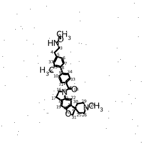 CONCCc1ccc(-c2ccc(C(=O)N3CCc4cc5c(cc43)C3(CCN(C)CC3)CO5)cc2)c(C)c1